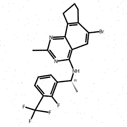 Cc1nc(N[C@H](C)c2cccc(C(F)(F)F)c2F)c2cc(Br)c3c(c2n1)CCC3